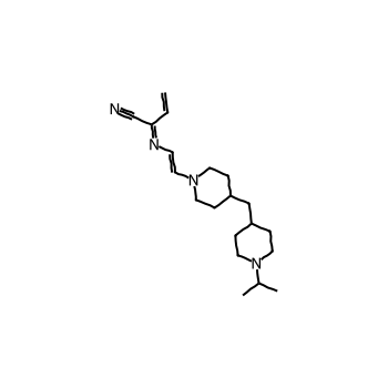 C=C/C(C#N)=N\C=C\N1CCC(CC2CCN(C(C)C)CC2)CC1